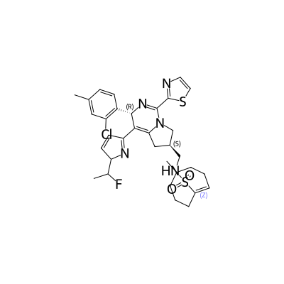 Cc1ccc([C@@H]2N=C(c3nccs3)N3C[C@@H](CNS(=O)(=O)/C4=C\CCC(C)CCC4)CC3=C2C2=NC(C(C)F)C=C2)c(Cl)c1